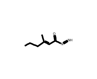 CCC/C(C)=C/C(=O)N=N